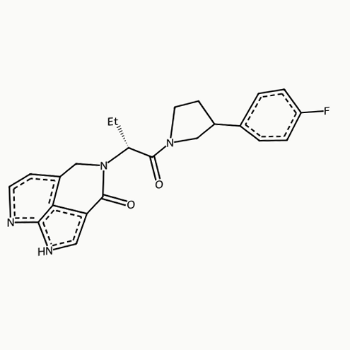 CC[C@H](C(=O)N1CCC(c2ccc(F)cc2)C1)N1Cc2ccnc3[nH]cc(c23)C1=O